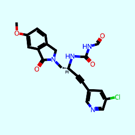 COc1ccc2c(c1)C(=O)N(C[C@@H](C#Cc1cncc(Cl)c1)NC(=O)NC=O)C2